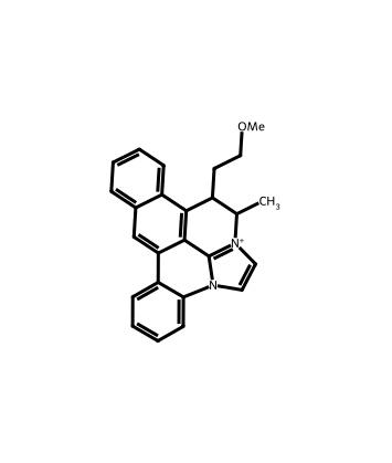 COCCC1c2c3ccccc3cc3c4ccccc4n4cc[n+](c4c23)C1C